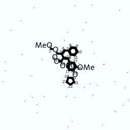 COCOC(=O)C(=Cc1ccccc1)C(=Cc1ccc(OC2CCCC2)c(OC)c1)C(=O)OC